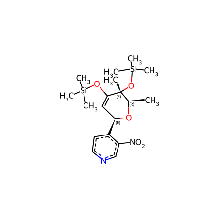 C[C@H]1O[C@@H](c2ccncc2[N+](=O)[O-])C=C(O[Si](C)(C)C)[C@]1(C)O[Si](C)(C)C